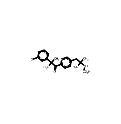 CC(C)(Cc1ccc(C(=O)C(C)(C)c2cccc(Cl)c2)nc1)NC(=O)O